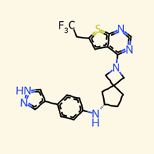 FC(F)(F)Cc1cc2c(N3CC4(CC[C@H](Nc5ccc(-c6cn[nH]c6)cc5)C4)C3)ncnc2s1